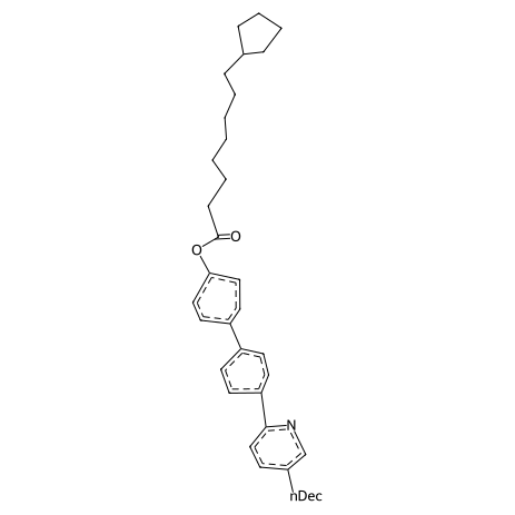 CCCCCCCCCCc1ccc(-c2ccc(-c3ccc(OC(=O)CCCCCCCC4CCCC4)cc3)cc2)nc1